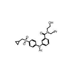 CC(=O)N(c1ccc(S(=O)(=O)CC2CC2)cc1)c1cccc(C(=O)N(CCO)CC(C)C)c1